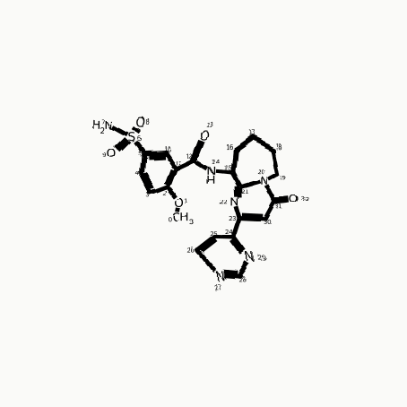 COc1ccc(S(N)(=O)=O)cc1C(=O)NC1CCCCn2c1nc(-c1ccncn1)cc2=O